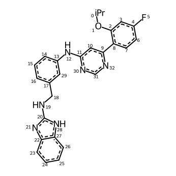 CC(C)Oc1cc(F)ccc1-c1cc(Nc2cccc(CNc3nc4ccccc4[nH]3)c2)ncn1